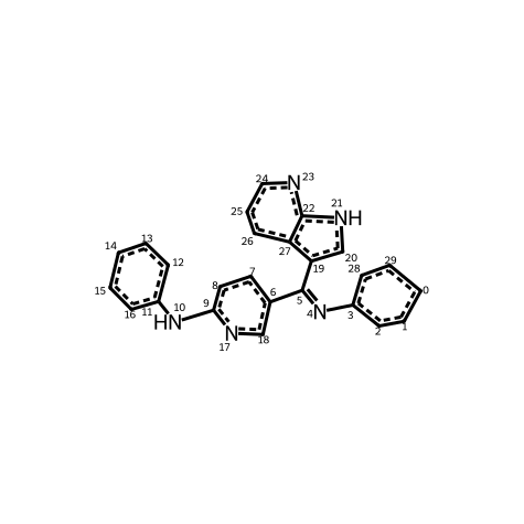 c1ccc(/N=C(/c2ccc(Nc3ccccc3)nc2)c2c[nH]c3ncccc23)cc1